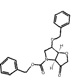 O=C1CO[C@@H]2C(OCc3ccccc3)CN(C(=O)OCc3ccccc3)[C@H]12